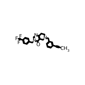 CC#Cc1cccc(CN2CCc3ncn(Cc4ccc(C(F)(F)F)cc4)c(=O)c3C2)c1